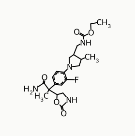 CCOC(=O)NCC1CN(c2ccc(C(C)(C(N)=O)C3CNC(=O)O3)cc2F)CC1C